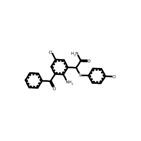 NC(=O)C(Sc1ccc(Cl)cc1)c1cc(Cl)cc(C(=O)c2ccccc2)c1N